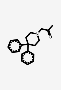 CC(=O)CN1CCC(c2ccccc2)(c2ccccc2)CC1